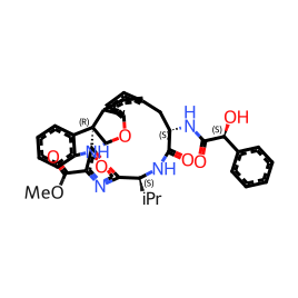 COC(=O)c1nc2oc1[C@@]13c4ccccc4NC1Oc1ccc(cc13)C[C@H](NC(=O)[C@@H](O)c1ccccc1)C(=O)N[C@H]2C(C)C